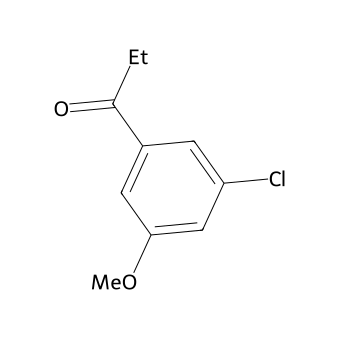 [CH2]CC(=O)c1cc(Cl)cc(OC)c1